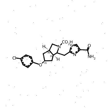 NC(=O)c1csc(CC2[C@H]3C[C@@H](Oc4ccc(Cl)cc4)C[C@H]3CN2C(=O)O)n1